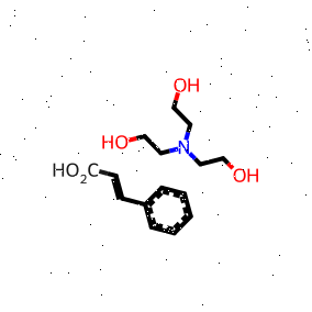 O=C(O)C=Cc1ccccc1.OCCN(CCO)CCO